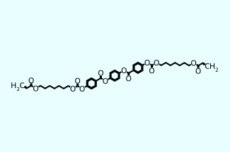 C=CC(=O)OCCCCCCCOC(=O)Oc1ccc(C(=O)Oc2ccc(OC(=O)c3ccc(OC(=O)OCCCCCCCOC(=O)C=C)cc3)cc2)cc1